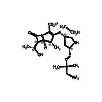 CC(=O)O.C[C@@H](O)[C@H]1C(=O)N2C(C(=O)O)=C(S[C@@H]3CN[C@H](COC(C)(C)CN)C3)[C@H](C)[C@H]12